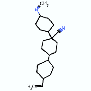 C=CC1CCC(C2CCC(C#N)(C3CCC(N=C)CC3)CC2)CC1